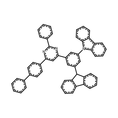 c1ccc(-c2ccc(-c3cc(-c4cc(C5c6ccccc6-c6ccccc65)cc(-n5c6ccccc6c6ccccc65)c4)nc(-c4ccccc4)n3)cc2)cc1